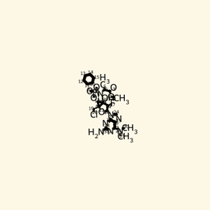 COC(=O)[C@@H](C)N[P@](=O)(Oc1ccccc1)OC1[C@@]2(CCl)O[C@@H](n3cnc4c(N(C)C)nc(N)nc43)[C@H](F)[C@@]12O